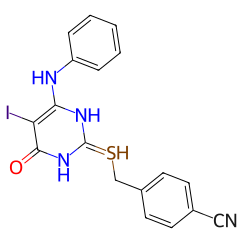 N#Cc1ccc(C[SH]=c2[nH]c(Nc3ccccc3)c(I)c(=O)[nH]2)cc1